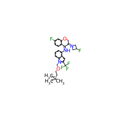 C[Si](C)(C)CCOCn1c(C(F)(F)F)cc2c(N[C@H]3c4ccc(F)cc4OC[C@@H]3N3CC(F)C3)cccc21